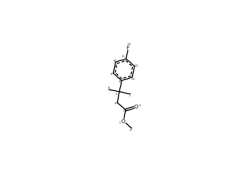 COC(=O)CC(C)(C)c1ccc(F)cc1